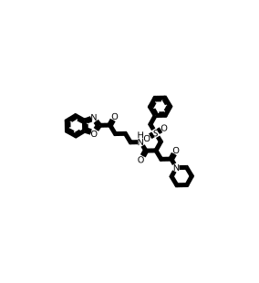 O=C(CCCNC(=O)C(CC(=O)N1CCCCC1)CS(=O)(=O)Cc1ccccc1)c1nc2ccccc2o1